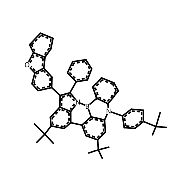 CC(C)(C)c1ccc(N2c3ccccc3B3c4c(cc(C(C)(C)C)cc42)-c2cc(C(C)(C)C)cc4c(-c5ccc6oc7ccccc7c6c5)c(-c5ccccc5)n3c24)cc1